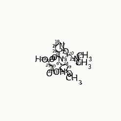 COc1ccc(CN2CC(CCN(C)C)Oc3ncccc3C2=O)cc1.O=C(O)C=CC(=O)O